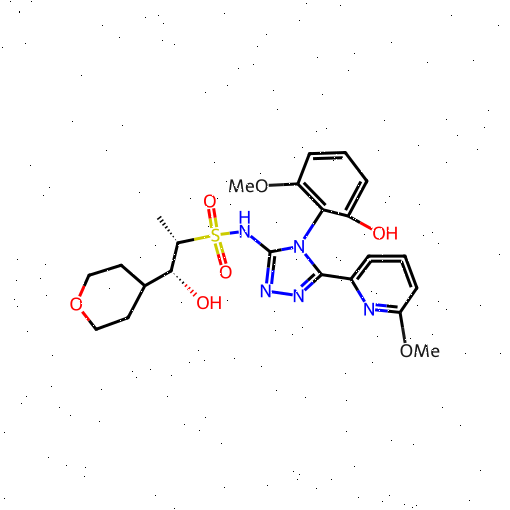 COC1=NC(c2nnc(NS(=O)(=O)[C@@H](C)[C@H](O)C3CCOCC3)n2-c2c(O)cccc2OC)=C=C=C1